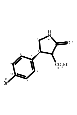 CCOC(=O)C1C(=O)NC[C@@H]1c1ccc(Br)cc1